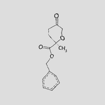 C[C@]1(C(=O)OCc2ccccc2)CCC(=O)CO1